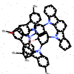 CC(C)(C)c1ccc2c(c1)c1cc(C(C)(C)C)ccc1n2-c1ccc(-n2c3ccccc3c3ccc4c5ccccc5n(-c5cc6c7c(c5)-n5c8ccc(C(C)(C)C)cc8c8cc(C(C)(C)C)cc(c85)B7c5cc(C(C)(C)C)cc7c8cc(C(C)(C)C)ccc8n-6c57)c4c32)cc1